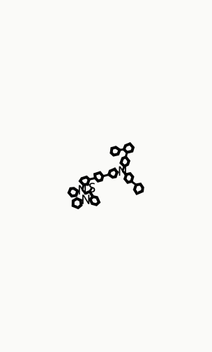 c1ccc(-c2ccc(N(c3ccc(-c4ccc(-c5cccc6c5Sc5c(n(-c7ccccc7)c7ccccc57)N6c5ccccc5)cc4)cc3)c3ccc(-c4ccccc4-c4ccccc4)cc3)cc2)cc1